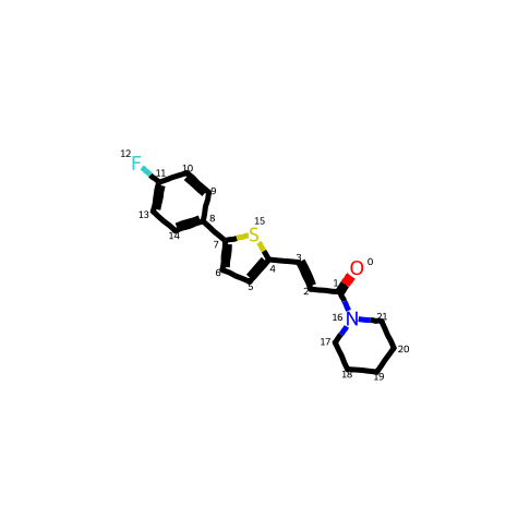 O=C(C=Cc1ccc(-c2ccc(F)cc2)s1)N1CCCCC1